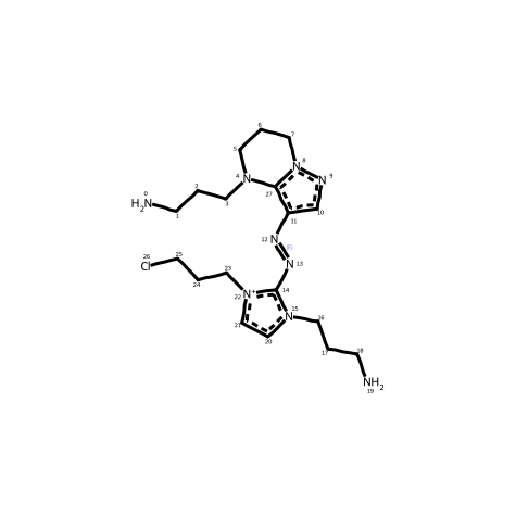 NCCCN1CCCn2ncc(/N=N/c3n(CCCN)cc[n+]3CCCCl)c21